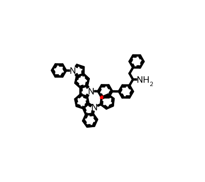 NC(Cc1ccccc1)c1cccc(-c2ccc(-n3c4cc5ccn(-c6ccccc6)c5cc4c4ccc5c6ccccc6n(-c6ccccc6)c5c43)cc2)c1